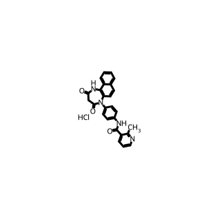 Cc1ncccc1C(=O)Nc1ccc(N2C(=O)CC(=O)Nc3c2ccc2ccccc32)cc1.Cl